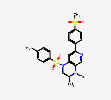 CC(=O)N1c2cnc(-c3ccc(S(C)(=O)=O)cc3)cc2N(S(=O)(=O)c2ccc(C)cc2)C[C@@H]1C